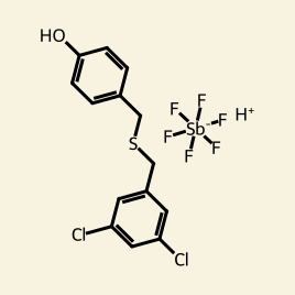 Oc1ccc(CSCc2cc(Cl)cc(Cl)c2)cc1.[F][Sb-]([F])([F])([F])([F])[F].[H+]